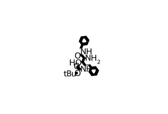 CC(C)(C)OC(=O)N[C@@H](Cc1ccccc1)[C@H](O)[C@H](N)C(=O)NCc1ccccc1